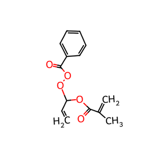 C=CC(OOC(=O)c1ccccc1)OC(=O)C(=C)C